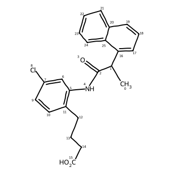 CC(C(=O)Nc1cc(Cl)ccc1CCCC(=O)O)c1cccc2ccccc12